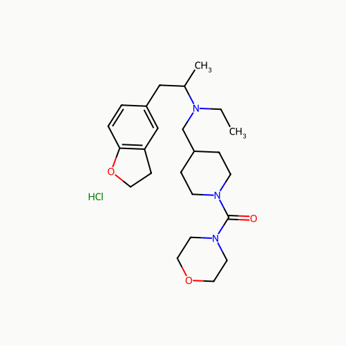 CCN(CC1CCN(C(=O)N2CCOCC2)CC1)C(C)Cc1ccc2c(c1)CCO2.Cl